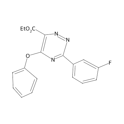 CCOC(=O)c1nnc(-c2cccc(F)c2)nc1Oc1ccccc1